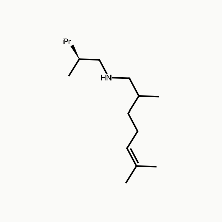 CC(C)=CCCC(C)CNC[C@@H](C)C(C)C